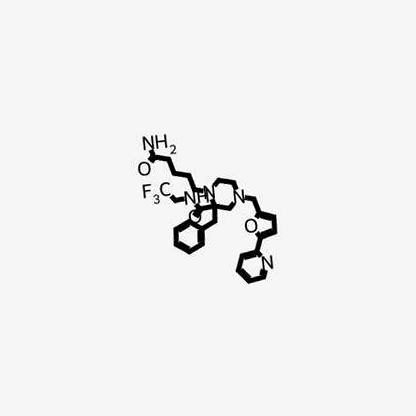 NC(=O)CCCCN1CCN(Cc2ccc(-c3ccccn3)o2)CC1(Cc1ccccc1)C(=O)NCC(F)(F)F